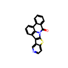 O=c1c2ccccc2c2cccc3c4c5cnccc5sc4n1c23